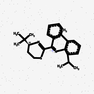 CC(C)c1cccc(C(C)C)c1/N=C(/C1=N[C@@H](C(C)(C)C)CCS1)c1ccccc1